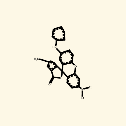 CCN(CC)c1ccc2c(c1)Oc1ccc(Nc3ccccc3)cc1C21OC(=O)c2cc(N)ccc21